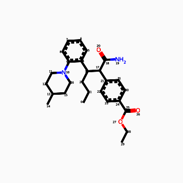 CCCC(c1ccccc1N1CCC(C)CC1)C(C(N)=O)c1ccc(C(=O)OCC)cc1